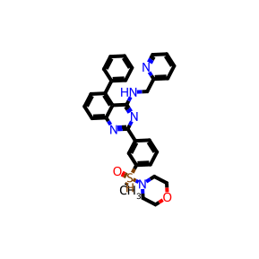 C[SH](=O)(c1cccc(-c2nc(NCc3ccccn3)c3c(-c4ccccc4)cccc3n2)c1)N1CCOCC1